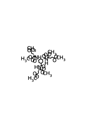 COC(=O)CC[C@H](NC(=O)C1C[C@H](C(=O)N[C@@H](CCC(=O)OC)C(=O)OC)C[C@H](C(=O)N[C@@H](CCC(=O)OC)C(=O)OC)C1)C(=O)OC